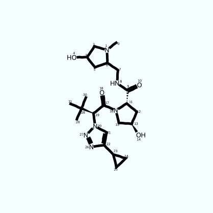 CN1CC(O)CC1CNC(=O)[C@@H]1C[C@@H](O)CN1C(=O)[C@@H](n1cc(C2CC2)nn1)C(C)(C)C